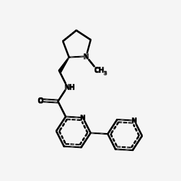 CN1CCC[C@@H]1CNC(=O)c1cccc(-c2cccnc2)n1